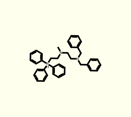 CN(CCN(Cc1ccccc1)Cc1ccccc1)CC[PH](c1ccccc1)(c1ccccc1)c1ccccc1